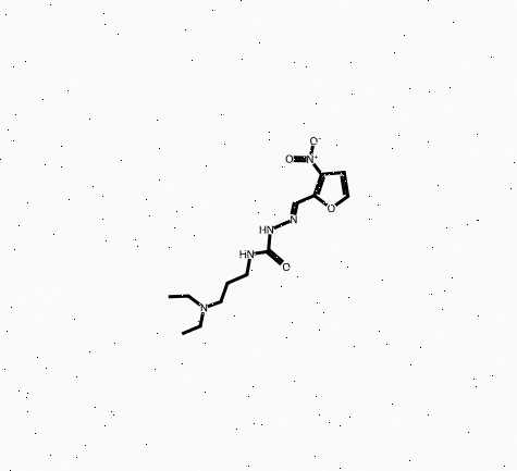 CCN(CC)CCCNC(=O)NN=Cc1occc1[N+](=O)[O-]